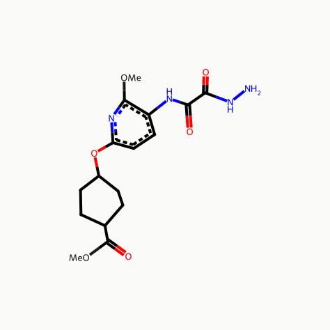 COC(=O)C1CCC(Oc2ccc(NC(=O)C(=O)NN)c(OC)n2)CC1